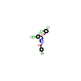 O=C(C[n+]1ccn(CC(OCc2ccc(Cl)cc2Cl)c2ccc(Cl)cc2Cl)c1)c1ccc(Br)cc1.[Cl-]